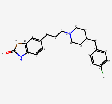 O=c1[nH]c2ccc(CCCN3CCC(Cc4ccc(F)cc4)CC3)cc2s1